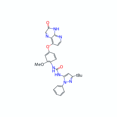 COc1cc(Oc2ccnc3[nH]c(=O)cnc23)ccc1NC(=O)Nc1cc(C(C)(C)C)nn1-c1ccccc1